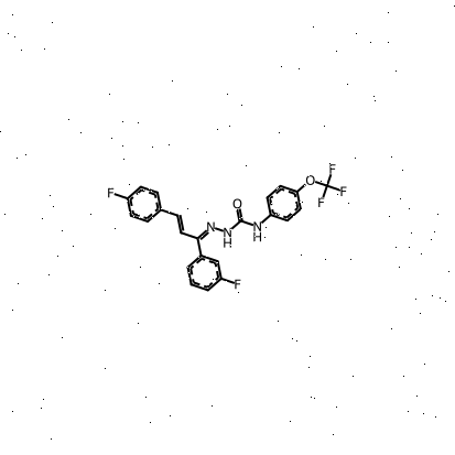 O=C(NN=C(C=Cc1ccc(F)cc1)c1cccc(F)c1)Nc1ccc(OC(F)(F)F)cc1